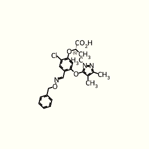 Cc1nn(C)c(Oc2cc(O[C@@H](C)C(=O)O)c(Cl)cc2C=NOCc2ccccc2)c1C